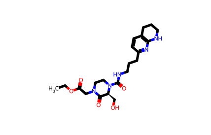 CCOC(=O)CN1CCN(C(=O)NCCCc2ccc3c(n2)NCCC3)[C@@H](CO)C1=O